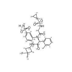 Cc1ccccc1[C@@H](C(=O)NC1CC(F)(F)C1)N(C(=O)CNS(=O)(=O)N1CC1)c1cccc(S(N)(=O)=O)c1